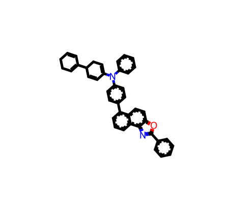 C1=CC(C2C=CC(N(c3ccccc3)c3ccc(-c4cccc5c4ccc4oc(-c6ccccc6)nc45)cc3)=CC2)=CCC1